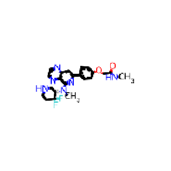 CNC(=O)COc1ccc(-c2cc3nccnc3c(N(C)[C@H]3CNCCC3(F)F)n2)cc1